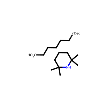 CC1(C)CCCC(C)(C)N1.CCCCCCCCCCCCCCCC(=O)O